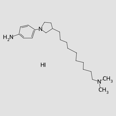 CN(C)CCCCCCCCCCC1CCN(c2ccc(N)cc2)C1.I